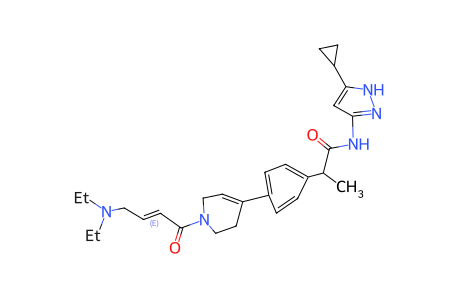 CCN(CC)C/C=C/C(=O)N1CC=C(c2ccc(C(C)C(=O)Nc3cc(C4CC4)[nH]n3)cc2)CC1